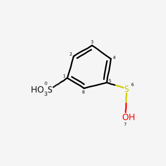 O=S(=O)(O)c1cccc(SO)c1